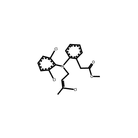 COC(=O)Cc1ccccc1N(CC=C(C)Cl)c1c(Cl)cccc1Cl